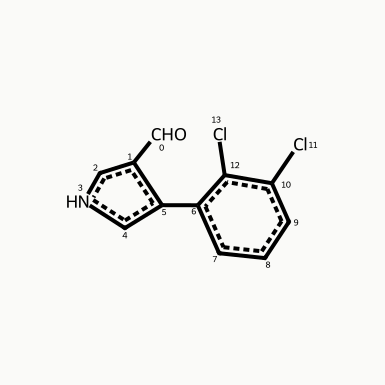 O=Cc1c[nH]cc1-c1cccc(Cl)c1Cl